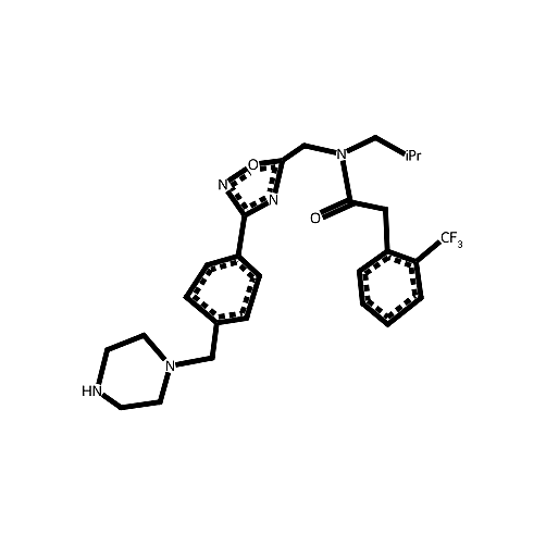 CC(C)CN(Cc1nc(-c2ccc(CN3CCNCC3)cc2)no1)C(=O)Cc1ccccc1C(F)(F)F